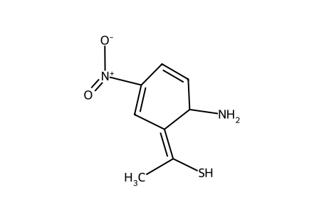 C/C(S)=C1\C=C([N+](=O)[O-])C=CC1N